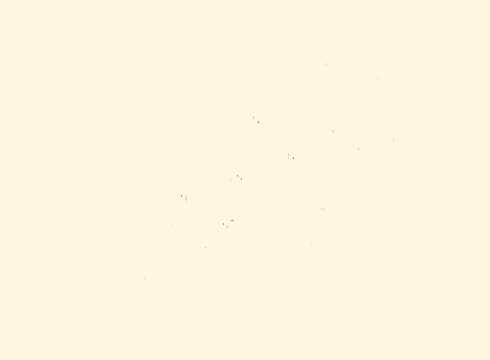 c1ccc2c(c1)ccc1c2nc2n1c1cccc3c1n2c1nc2ccc4ccccc4c2n31